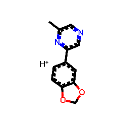 Cc1cncc(-c2ccc3c(c2)OCO3)n1.[H+]